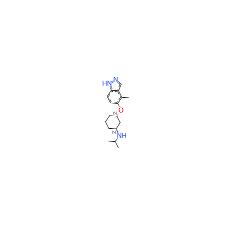 Cc1c(O[C@H]2CCC[C@H](NC(C)C)C2)ccc2[nH]ncc12